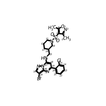 Cc1noc(C)c1S(=O)(=O)N1CCCC(CNc2cc(-c3ccccc3Cl)nc3c(Br)cnn23)C1